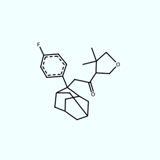 CC1(C)COCC1C(=O)CC1(c2ccc(F)cc2)C2CC3CC(C2)CC1C3